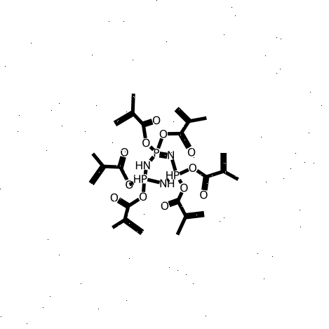 C=C(C)C(=O)OP1(OC(=O)C(=C)C)=N[PH](OC(=O)C(=C)C)(OC(=O)C(=C)C)N[PH](OC(=O)C(=C)C)(OC(=O)C(=C)C)N1